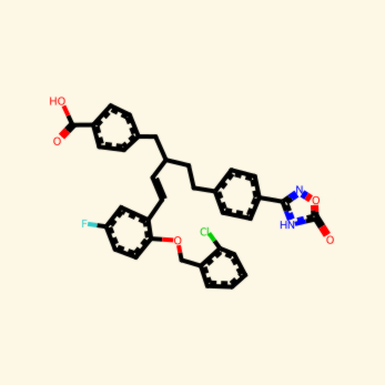 O=C(O)c1ccc(CC(C=Cc2cc(F)ccc2OCc2ccccc2Cl)CCc2ccc(-c3noc(=O)[nH]3)cc2)cc1